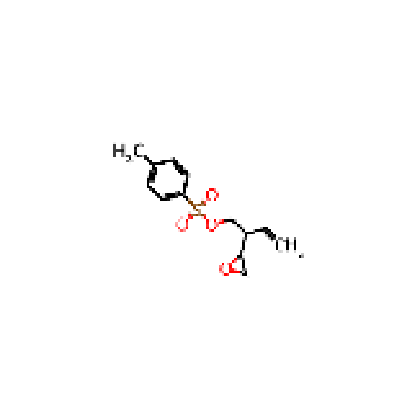 C=CC(COS(=O)(=O)c1ccc(C)cc1)C1CO1